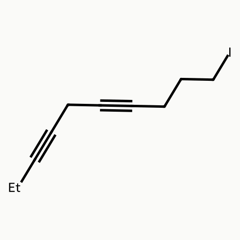 CCC#CCC#CCCCI